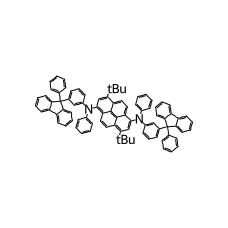 CC(C)(C)c1cc(N(c2ccccc2)c2cccc(C3(c4ccccc4)c4ccccc4-c4ccccc43)c2)c2ccc3c(C(C)(C)C)cc(N(c4ccccc4)c4cccc(C5(c6ccccc6)c6ccccc6-c6ccccc65)c4)c4ccc1c2c43